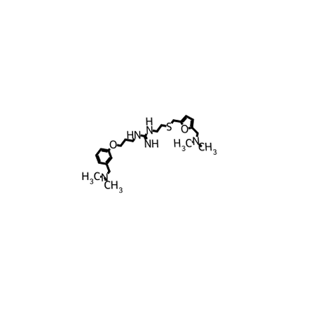 CN(C)Cc1cccc(OCCCNC(=N)NCCSCc2ccc(CN(C)C)o2)c1